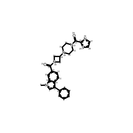 Cn1cc(-c2ccccc2)c2ccc(C(=O)N3CC(N4CCN(C(=O)c5nccs5)CC4)C3)cc21